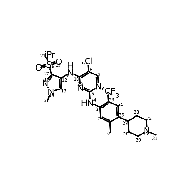 Cc1cc(Nc2ncc(Cl)c(Nc3cn(C)nc3S(=O)(=O)C(C)C)n2)c(C(F)(F)F)cc1C1CCN(C)CC1